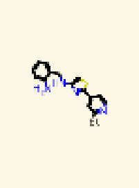 CCc1cc(-c2nc(NCc3ccccc3N)cs2)ccn1